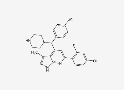 Cc1n[nH]c2nc(-c3ccc(O)cc3F)cc(C(c3ccc(C(C)C)cc3)N3CCNCC3)c12